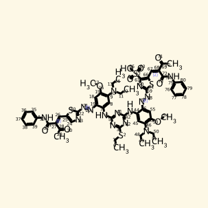 CCSc1nc(Nc2cc(N(CC)CC)c(OC)cc2/N=N/c2ncc(/C=C(\C(C)=O)C(=O)Nc3ccccc3)s2)nc(Nc2cc(N(CC)CC)c(OC)cc2/N=N/c2nc(S(=O)(=O)O)c(/C=C(/C(C)=O)C(=O)Nc3ccccc3)s2)n1